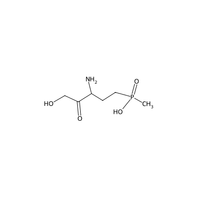 CP(=O)(O)CCC(N)C(=O)CO